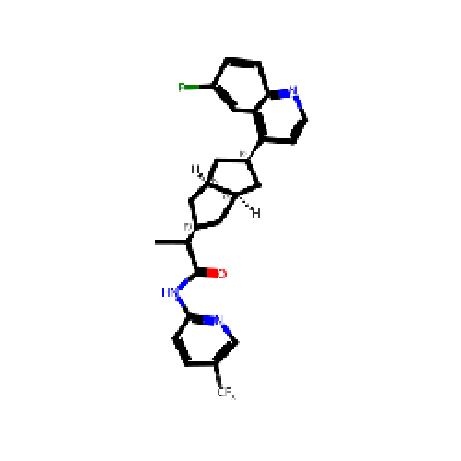 CC(C(=O)Nc1ccc(C(F)(F)F)cn1)[C@H]1C[C@H]2C[C@@H](c3ccnc4ccc(F)cc34)C[C@H]2C1